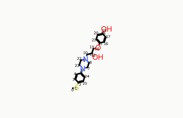 CSc1ccc(N2CCN(C[C@H](O)COc3ccc(O)cc3)CC2)cc1